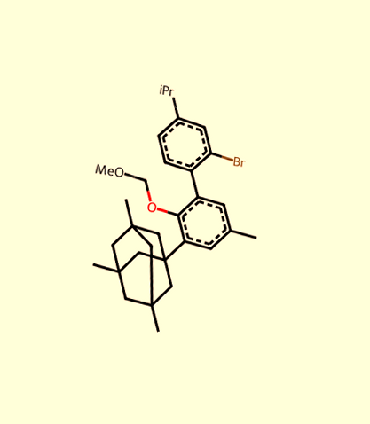 COCOc1c(-c2ccc(C(C)C)cc2Br)cc(C)cc1C12CC3(C)CC(C)(CC(C)(C3)C1)C2